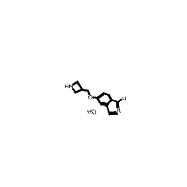 Cl.Clc1nccc2cc(OCC3CNC3)ccc12